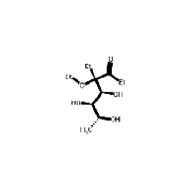 CCO[C@](CC)(C(=O)CC)[C@@H](O)[C@H](O)[C@@H](C)O